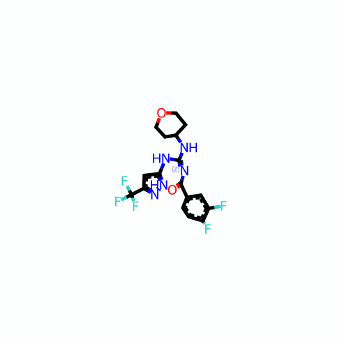 O=C(/N=C(\Nc1cc(C(F)(F)F)n[nH]1)NC1CCOCC1)c1ccc(F)c(F)c1